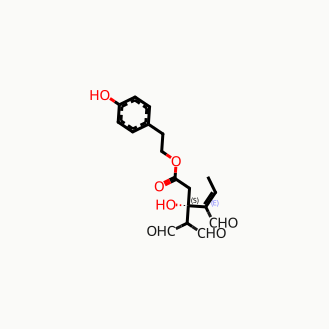 C/C=C(/C=O)[C@](O)(CC(=O)OCCc1ccc(O)cc1)C(C=O)C=O